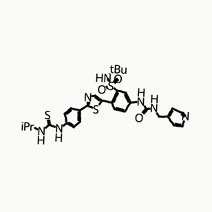 CC(C)NC(=S)Nc1ccc(-c2ncc(-c3ccc(NC(=O)NCc4ccncc4)cc3S(=O)(=O)NC(C)(C)C)s2)cc1